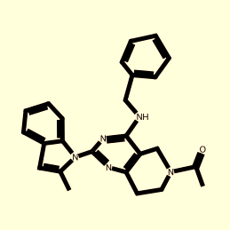 CC(=O)N1CCc2nc(-n3c(C)cc4ccccc43)nc(NCc3ccccc3)c2C1